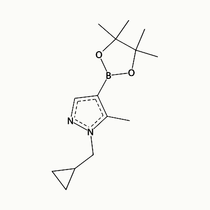 Cc1c(B2OC(C)(C)C(C)(C)O2)cnn1CC1CC1